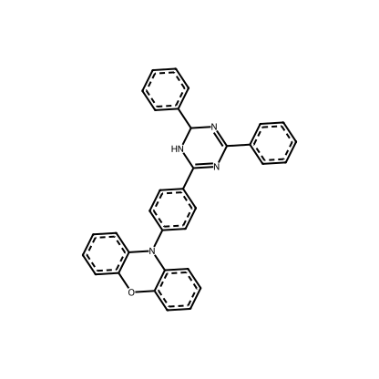 c1ccc(C2=NC(c3ccccc3)NC(c3ccc(N4c5ccccc5Oc5ccccc54)cc3)=N2)cc1